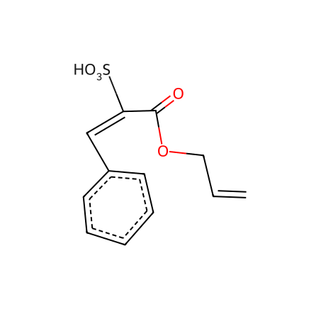 C=CCOC(=O)C(=Cc1ccccc1)S(=O)(=O)O